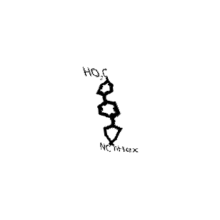 CCCCCCC1(C#N)CCC(c2ccc(-c3ccc(C(=O)O)cc3)cc2)CC1